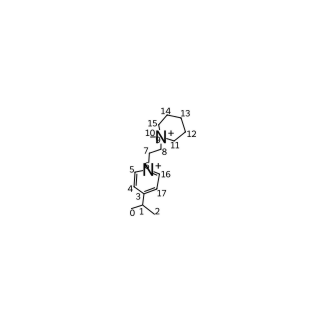 CC(C)c1cc[n+](CC[N+]2(C)CCCCC2)cc1